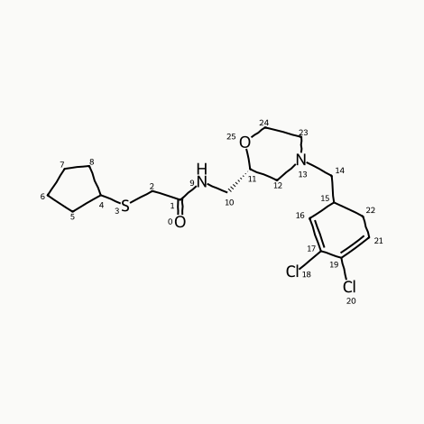 O=C(CSC1CCCC1)NC[C@H]1CN(CC2C=C(Cl)C(Cl)=CC2)CCO1